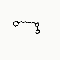 c1ccc(CCCCCCCc2ncc(-c3cccs3)s2)cc1